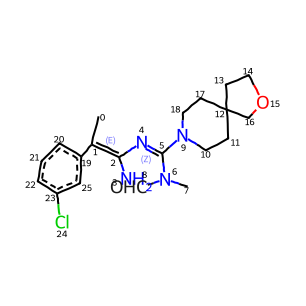 C/C(=C(N)\N=C(/N(C)C=O)N1CCC2(CCOC2)CC1)c1cccc(Cl)c1